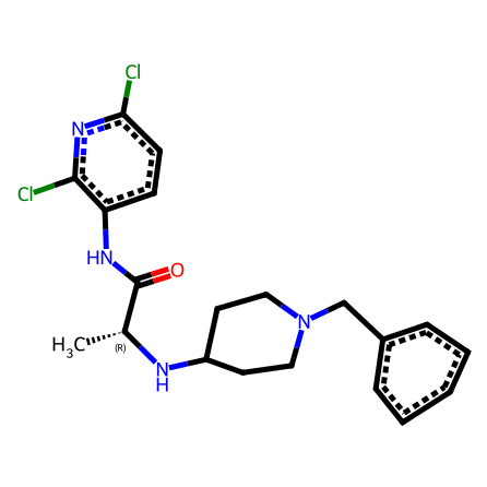 C[C@@H](NC1CCN(Cc2ccccc2)CC1)C(=O)Nc1ccc(Cl)nc1Cl